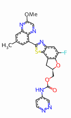 COc1cnc2c(-c3nc4cc(F)c5c(c4s3)C[C@H](COC(=O)Nc3ccnnc3)O5)cc(C)cc2n1